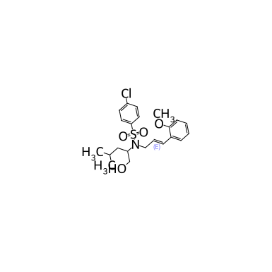 COc1ccccc1/C=C/CN(C(CO)CC(C)C)S(=O)(=O)c1ccc(Cl)cc1